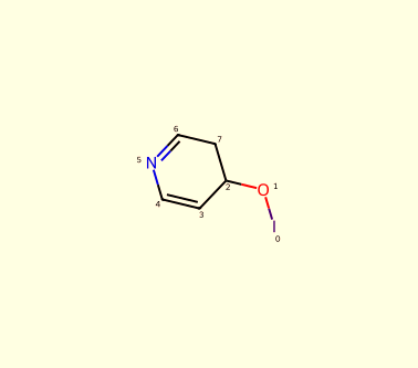 IOC1C=CN=CC1